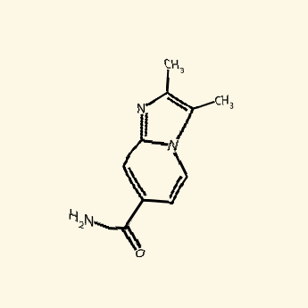 Cc1nc2cc(C(N)=O)ccn2c1C